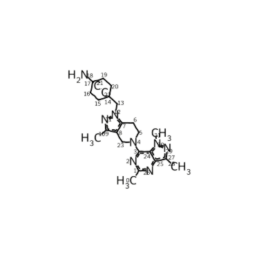 Cc1nc(N2CCc3c(c(C)nn3CC34CCC(N)(CC3)CC4)C2)c2c(n1)c(C)nn2C